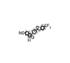 N#Cc1ccc2c(c1)[nH]c(=O)n2C1CCN(C(=O)Cc2ccc(C(F)(F)F)cc2)CC1